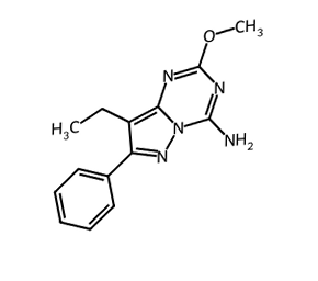 CCc1c(-c2ccccc2)nn2c(N)nc(OC)nc12